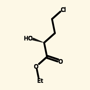 CCOC(=O)[C@H](O)CCCl